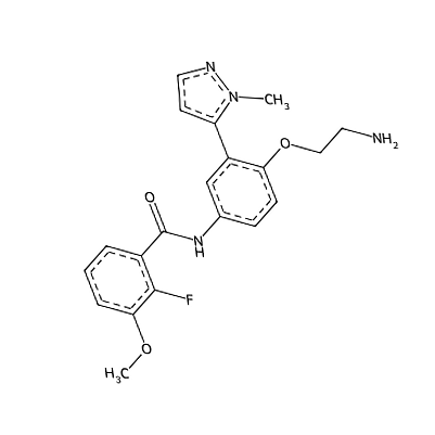 COc1cccc(C(=O)Nc2ccc(OCCN)c(-c3ccnn3C)c2)c1F